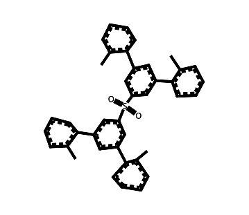 Cc1ccccc1-c1cc(-c2ccccc2C)cc(S(=O)(=O)c2cc(-c3ccccc3C)cc(-c3ccccc3C)c2)c1